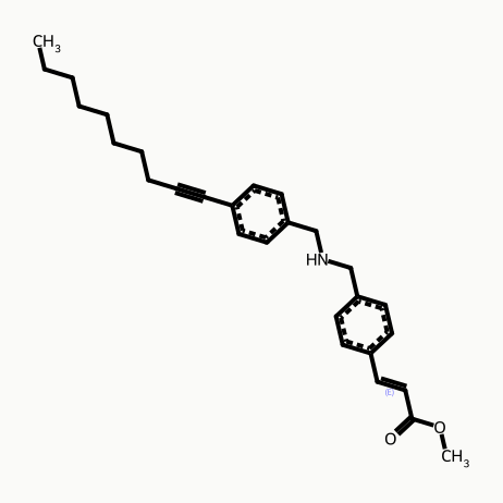 CCCCCCCCC#Cc1ccc(CNCc2ccc(/C=C/C(=O)OC)cc2)cc1